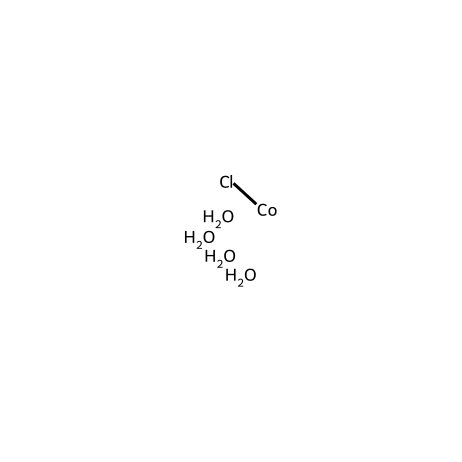 O.O.O.O.[Cl][Co]